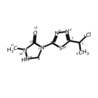 CC(Cl)c1nnc(N2CNN(C)C2=O)s1